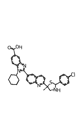 CC1(c2ccc3cc(-c4nc5cc(C(=O)O)ccc5n4C4CCCCC4)ccc3n2)CNC(c2ccc(Cl)cc2)S1